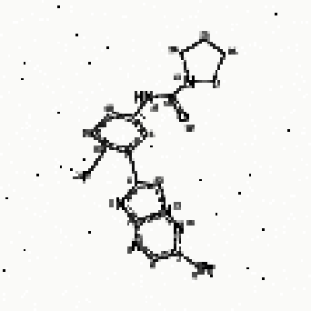 CC(C)c1cnc2nc(-c3cc(NC(=O)N4CCCC4)ccc3F)cn2n1